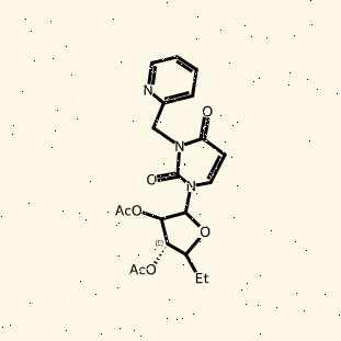 CCC1OC(n2ccc(=O)n(Cc3ccccn3)c2=O)C(OC(C)=O)[C@H]1OC(C)=O